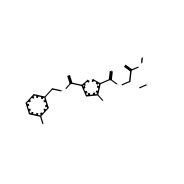 COC(=O)[C@H](CN)NC(=O)c1sc(C(=O)NCc2cccc(C)c2)cc1Br